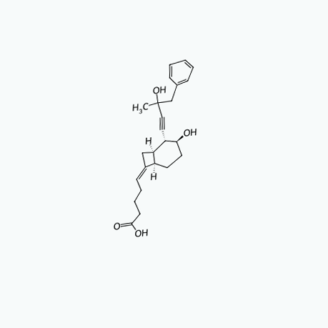 CC(O)(C#C[C@H]1[C@@H]2C/C(=C/CCCC(=O)O)[C@@H]2CC[C@@H]1O)Cc1ccccc1